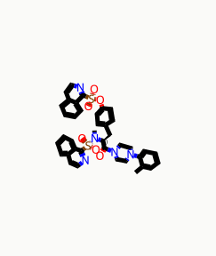 Cc1ccccc1N1CCN(C(=O)[C@H](Cc2ccc(OS(=O)(=O)c3nccc4ccccc34)cc2)N(C)S(=O)(=O)c2nccc3ccccc23)CC1